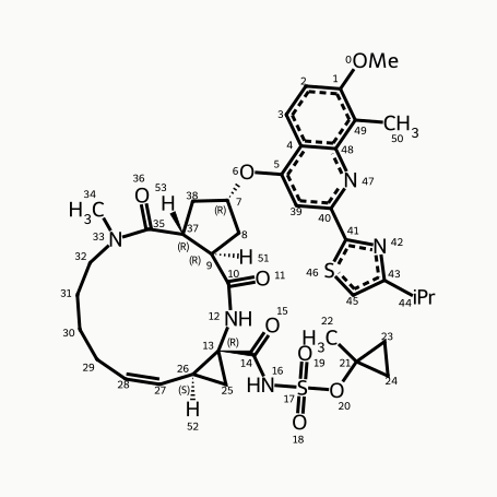 COc1ccc2c(O[C@@H]3C[C@H]4C(=O)N[C@]5(C(=O)NS(=O)(=O)OC6(C)CC6)C[C@H]5C=CCCCCN(C)C(=O)[C@@H]4C3)cc(-c3nc(C(C)C)cs3)nc2c1C